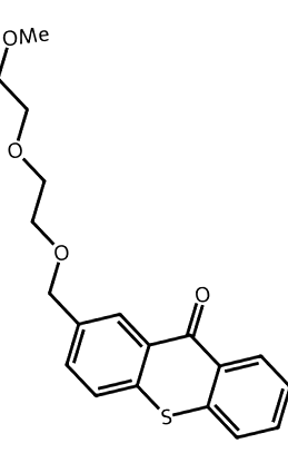 COCCOCCOCc1ccc2sc3ccccc3c(=O)c2c1